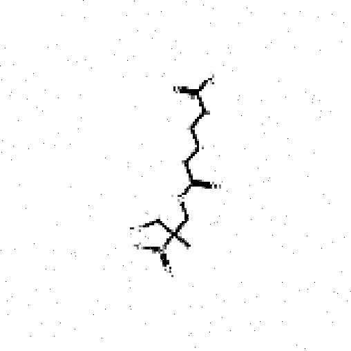 CC(CO)(COC(=O)CCCCC(=O)O)[N+](=O)[O-]